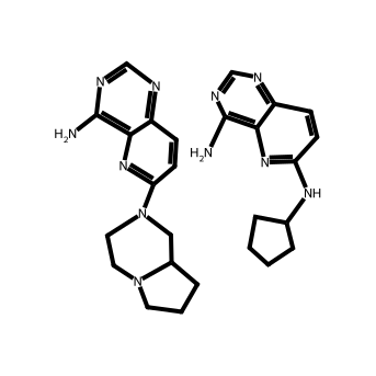 Nc1ncnc2ccc(N3CCN4CCCC4C3)nc12.Nc1ncnc2ccc(NC3CCCC3)nc12